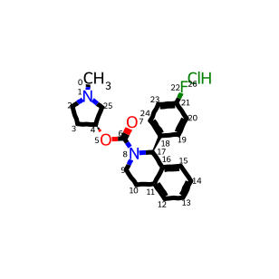 CN1CC[C@@H](OC(=O)N2CCc3ccccc3[C@@H]2c2ccc(F)cc2)C1.Cl